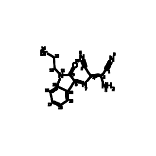 N#C/C(N)=C(C#N)/N=C1\C(=O)N(CCBr)c2ccccc21